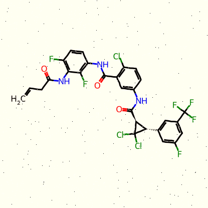 C=CCC(=O)Nc1c(F)ccc(NC(=O)c2cc(NC(=O)[C@H]3[C@H](c4cc(F)cc(C(F)(F)F)c4)C3(Cl)Cl)ccc2Cl)c1F